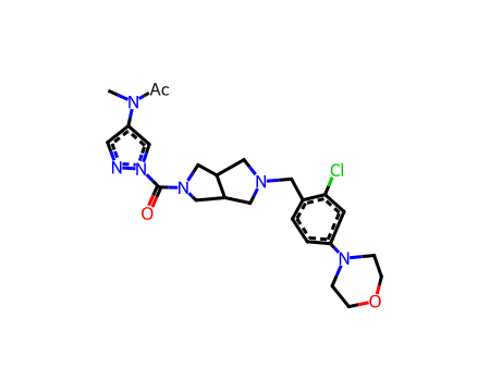 CC(=O)N(C)c1cnn(C(=O)N2CC3CN(Cc4ccc(N5CCOCC5)cc4Cl)CC3C2)c1